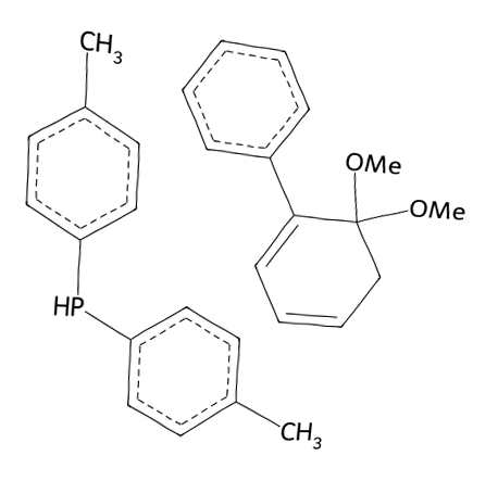 COC1(OC)CC=CC=C1c1ccccc1.Cc1ccc(Pc2ccc(C)cc2)cc1